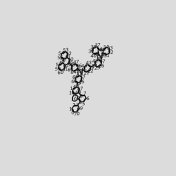 c1ccc(-c2cccc3c2oc2ccc(-c4ccc(N(c5ccc(-c6cccc(-n7c8ccccc8c8ccccc87)c6)cc5)c5ccc(-c6cc7ccccc7c7ccccc67)cc5)cc4)cc23)cc1